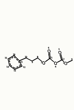 COC(=O)OC(=O)OCCCc1ccccc1